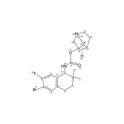 CC1(C)CCc2cc(Br)c(F)cc2C1NC(=O)O[C@H]1CN2CCC1CC2